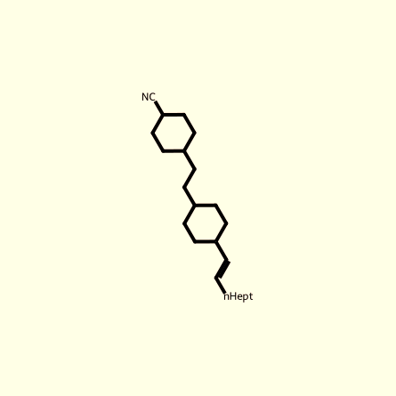 CCCCCCCC=CC1CCC(CCC2CCC(C#N)CC2)CC1